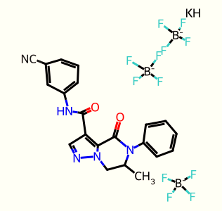 CC1Cn2ncc(C(=O)Nc3cccc(C#N)c3)c2C(=O)N1c1ccccc1.F[B-](F)(F)F.F[B-](F)(F)F.F[B-](F)(F)F.[KH]